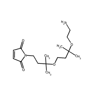 CC(C)(CCOC(C)(C)CCN1C(=O)C=CC1=O)OCCN